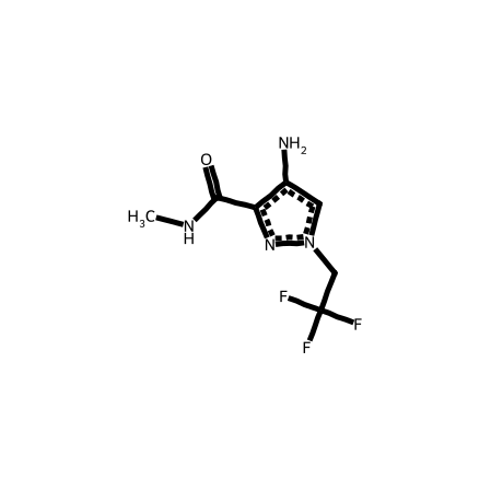 CNC(=O)c1nn(CC(F)(F)F)cc1N